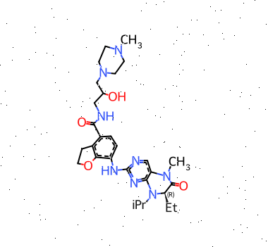 CC[C@@H]1C(=O)N(C)c2cnc(Nc3ccc(C(=O)NCC(O)CN4CCN(C)CC4)c4c3OCC4)nc2N1C(C)C